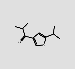 CC(C)C(=O)c1csc(C(C)C)c1